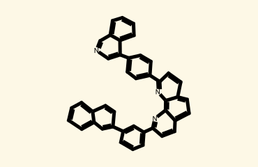 c1cc(-c2ccc3ccccc3c2)cc(-c2ccc3ccc4ccc(-c5ccc(-c6cncc7ccccc67)cc5)nc4c3n2)c1